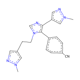 Cn1cc(CCn2cnc(-c3cnn(C)c3)c2-c2ccc(C#N)cc2)cn1